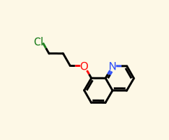 ClCCCOc1cccc2cccnc12